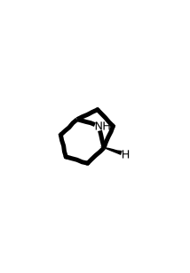 C1CC2CC[C@H](C1)N2